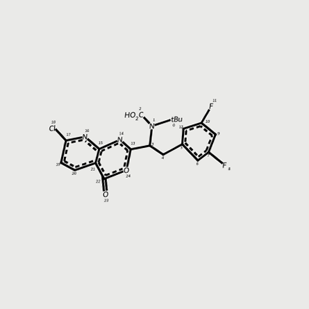 CC(C)(C)N(C(=O)O)C(Cc1cc(F)cc(F)c1)c1nc2nc(Cl)ccc2c(=O)o1